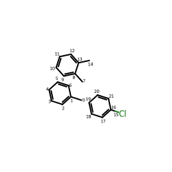 Cc1ccccc1.Cc1ccccc1C.Clc1ccccc1